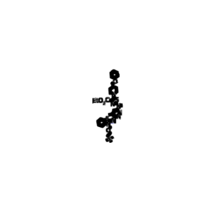 CCOC(=O)c1nc(N(C)c2cc(C)c(/N=c3\sc4ccccc4n3COCC[Si](C)(C)C)nn2)sc1N1CCC(COc2ccccc2)CC1